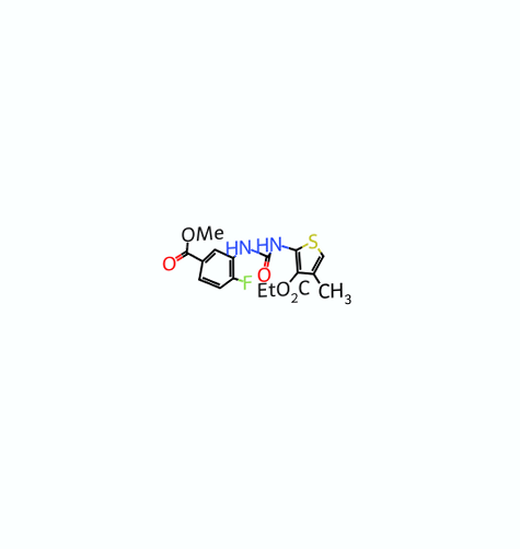 CCOC(=O)c1c(C)csc1NC(=O)Nc1cc(C(=O)OC)ccc1F